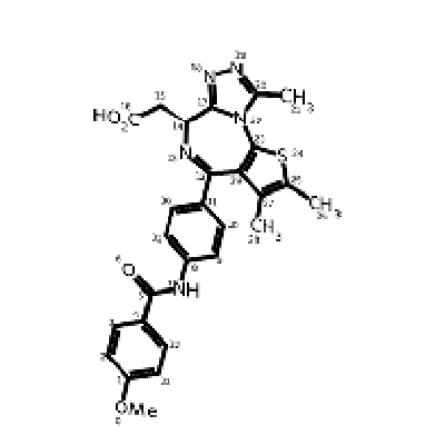 COc1ccc(C(=O)Nc2ccc(C3=N[C@@H](CC(=O)O)c4nnc(C)n4-c4sc(C)c(C)c43)cc2)cc1